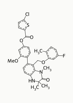 COc1cc(OC(=O)c2ccc(Cl)s2)ccc1-c1ccc2c(c1COc1cc(F)ccc1C)N(C)C(=O)C(C)(C)N2